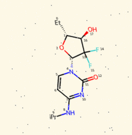 CC[C@H]1O[C@@H](n2ccc(NC(C)C)nc2=O)C(F)(F)[C@@H]1O